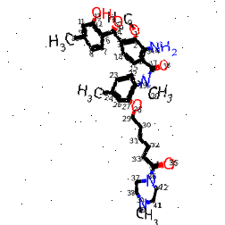 COc1c(C(=O)c2ccc(C)cc2O)ccc(C(=O)N(C)c2ccc(C)cc2OCCCCCC(=O)N2CCN(C)CC2)c1N